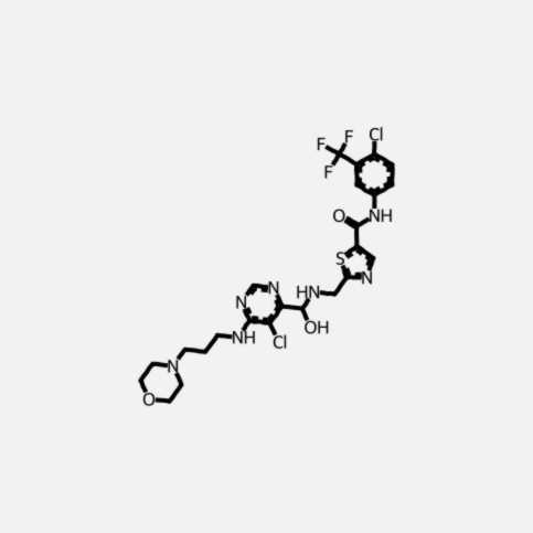 O=C(Nc1ccc(Cl)c(C(F)(F)F)c1)c1cnc(CNC(O)c2ncnc(NCCCN3CCOCC3)c2Cl)s1